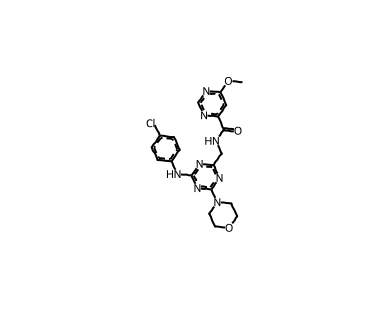 COc1cc(C(=O)NCc2nc(Nc3ccc(Cl)cc3)nc(N3CCOCC3)n2)ncn1